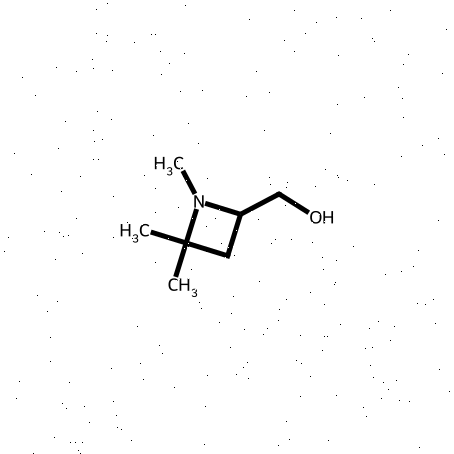 CN1C(CO)CC1(C)C